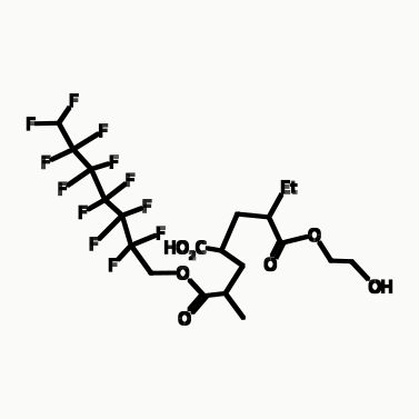 CCC(CC(CC(C)C(=O)OCC(F)(F)C(F)(F)C(F)(F)C(F)(F)C(F)(F)C(F)F)C(=O)O)C(=O)OCCO